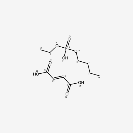 CCCCOP(=O)(O)OCC.O=C(O)C=CC(=O)O